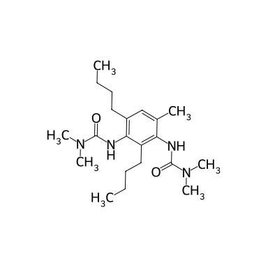 CCCCc1cc(C)c(NC(=O)N(C)C)c(CCCC)c1NC(=O)N(C)C